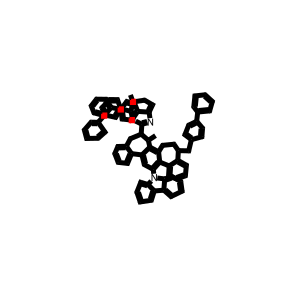 CC1C/C=C(c2ccc(-c3ccccc3)cc2)/N=C(C2Cc3ccccc3-c3cc(-n4c5ccccc5c5ccccc54)c4c(c3C2C)CCC(Cc2ccc(-c3ccccc3)cc2)c2ccccc2-4)\N=C/1c1cccc(-c2ccccc2)c1